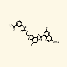 COc1cnc2c(-c3nc4cc(F)c5c(c4s3)CC(COC(=O)Nc3cccc(C(N)=O)c3)O5)cc(Cl)cc2c1